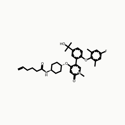 C=CCCCC(=O)N[C@H]1CC[C@H](Oc2cc(=O)n(C)cc2-c2cc(C(C)(C)O)ccc2Oc2c(C)cc(F)cc2C)CC1